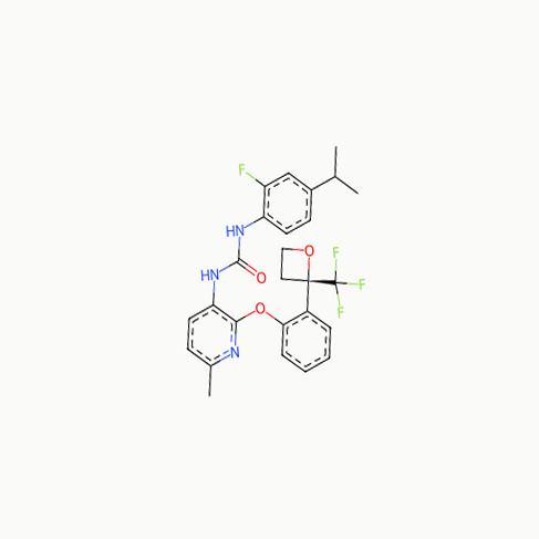 Cc1ccc(NC(=O)Nc2ccc(C(C)C)cc2F)c(Oc2ccccc2[C@]2(C(F)(F)F)CCO2)n1